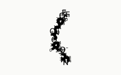 Cc1cc(OCc2coc(C=Cc3ccc(OC(F)(F)F)cc3)n2)ccc1C[S+]([O-])CCc1ccnn1C